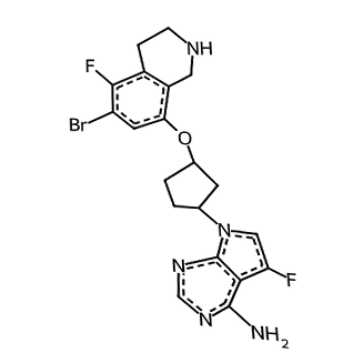 Nc1ncnc2c1c(F)cn2C1CCC(Oc2cc(Br)c(F)c3c2CNCC3)C1